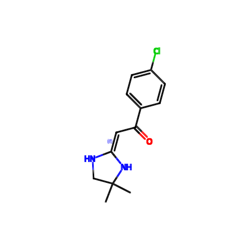 CC1(C)CN/C(=C/C(=O)c2ccc(Cl)cc2)N1